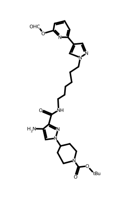 CC(C)(C)OC(=O)N1CCC(n2cc(N)c(C(=O)NCCCCCCn3cc(-c4cccc(OC=O)n4)cn3)n2)CC1